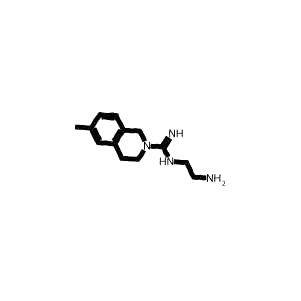 Cc1ccc2c(c1)CCN(C(=N)NCCN)C2